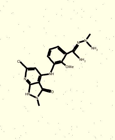 COc1c(Nc2cc(Cl)nc3[nH]n(C)c(=O)c23)cccc1/C(N)=N/N(C)N